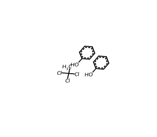 CC(Cl)(Cl)Cl.Oc1ccccc1.Oc1ccccc1